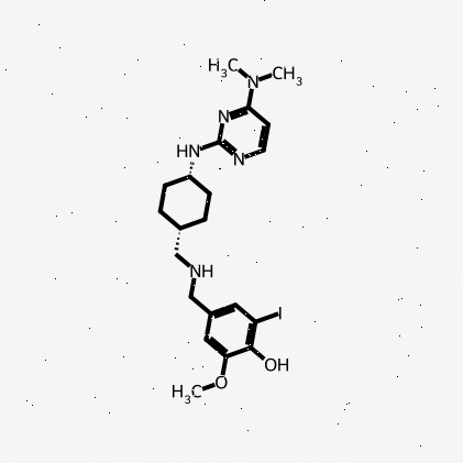 COc1cc(CNC[C@H]2CC[C@@H](Nc3nccc(N(C)C)n3)CC2)cc(I)c1O